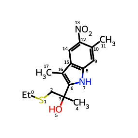 CCSCC(C)(O)c1[nH]c2cc(C)c([N+](=O)[O-])cc2c1C